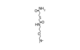 CN(C)CCOCCCNC(=O)CSCCC(N)=O